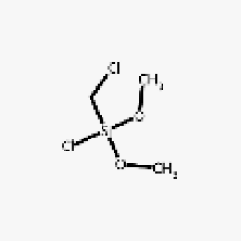 CO[Si](Cl)(CCl)OC